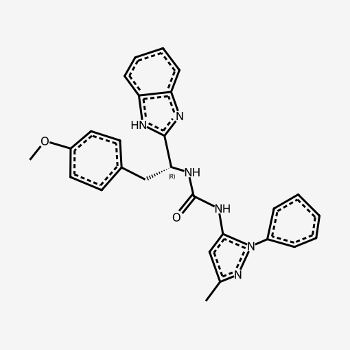 COc1ccc(C[C@@H](NC(=O)Nc2cc(C)nn2-c2ccccc2)c2nc3ccccc3[nH]2)cc1